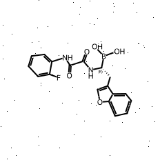 O=C(Nc1ccccc1F)C(=O)N[C@@H](Cc1coc2ccccc12)B(O)O